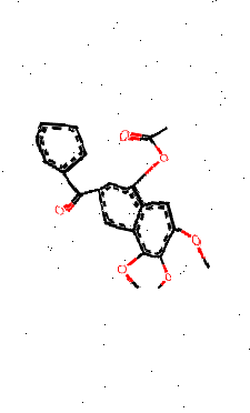 COc1cc2c(OC(C)=O)cc(C(=O)c3ccccc3)cc2c(OC)c1OC